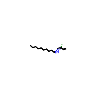 C=C/C(F)=C\N=C/CCCCCCCCC